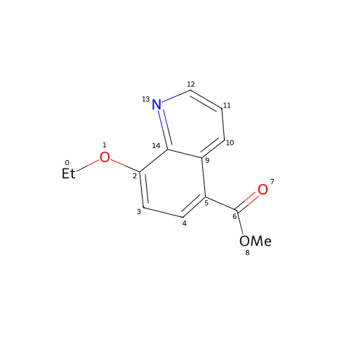 CCOc1ccc(C(=O)OC)c2cccnc12